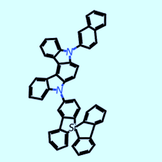 c1ccc2c(c1)-c1ccccc1[Si]21c2ccccc2-c2cc(-n3c4ccccc4c4c5c6ccccc6n(-c6ccc7ccccc7c6)c5ccc43)ccc21